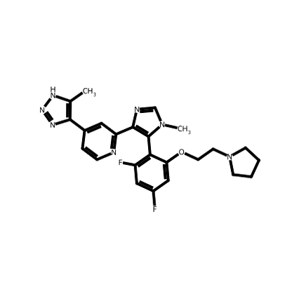 Cc1[nH]nnc1-c1ccnc(-c2ncn(C)c2-c2c(F)cc(F)cc2OCCN2CCCC2)c1